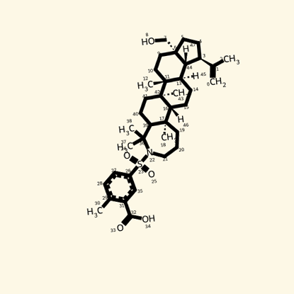 C=C(C)[C@@H]1CC[C@]2(CO)CC[C@]3(C)[C@H](CC[C@@H]4[C@@]5(C)CCCN(S(=O)(=O)c6ccc(C)c(C(=O)O)c6)C(C)(C)C5CC[C@]43C)[C@@H]12